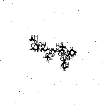 CCCC(NC(=O)CCN(CCNC(=O)C(NC(=O)[C@@H](NC(=O)c1cnccn1)C1CCCCC1)C(C)(C)C)C(=O)OC(C)(C)C)C(O)C(=O)NC1CC1